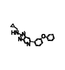 Cn1c(NCC2CC2)nc2cnc(-c3cccc(Oc4ccccc4)c3)cc21